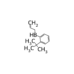 C=CCBc1ccccc1C(C)(C)C